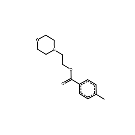 Cc1ccc(C(=O)OCCN2CCOCC2)cc1